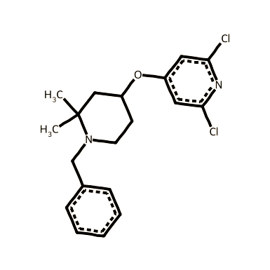 CC1(C)CC(Oc2cc(Cl)nc(Cl)c2)CCN1Cc1ccccc1